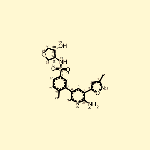 Cc1cc(-c2cc(-c3cc(S(=O)(=O)N[C@H]4COC[C@@H]4O)ccc3C)cnc2N)on1